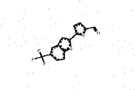 O=Cc1ccc(-c2cc3cc(C(F)(F)F)ccc3s2)o1